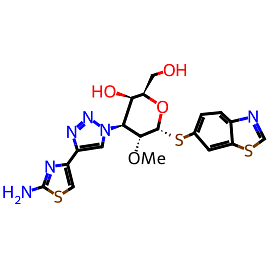 CO[C@@H]1[C@@H](n2cc(-c3csc(N)n3)nn2)[C@@H](O)[C@@H](CO)O[C@@H]1Sc1ccc2ncsc2c1